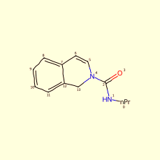 CCCNC(=O)N1C=Cc2ccccc2C1